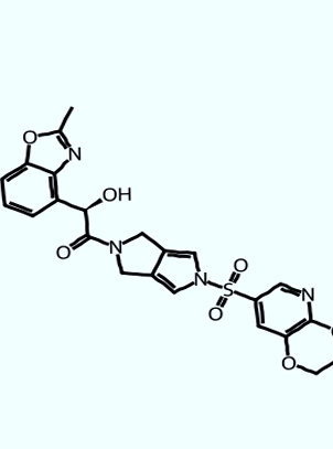 Cc1nc2c([C@@H](O)C(=O)N3Cc4cn(S(=O)(=O)c5cnc6c(c5)OCCO6)cc4C3)cccc2o1